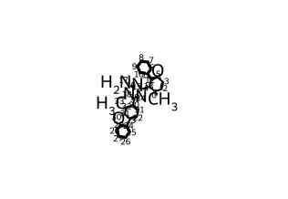 CC1C=Cc2oc3ccccc3c2C1c1nc(N)nc(C2=CC=C3c4ccccc4OC3C2C)n1